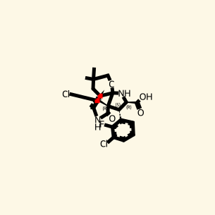 CC1(C)CCC2(CC1)N[C@@H](C(=O)O)[C@H](c1cccc(Cl)c1F)[C@]21C(=O)Nc2cc(Cl)ccc21